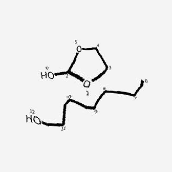 OC1OCCO1.[CH2]CCCCCO